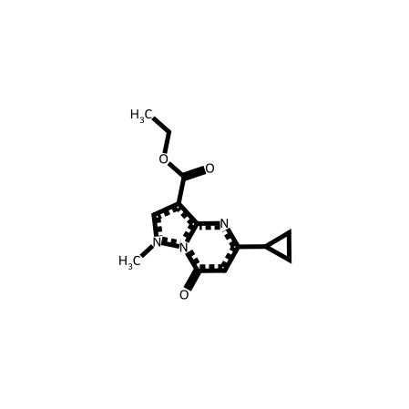 CCOC(=O)c1cn(C)n2c(=O)cc(C3CC3)nc12